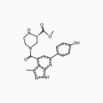 COC(=O)[C@H]1CN(C(=O)c2cc(-c3ccc(O)cc3)nc3[nH]nc(C)c23)CCN1